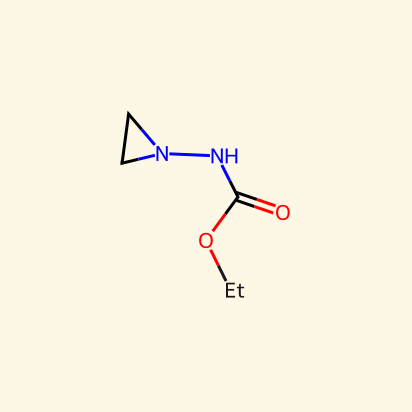 CCOC(=O)NN1CC1